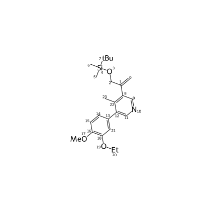 C=C(CO[Si](C)(C)C(C)(C)C)c1cncc(-c2ccc(OC)c(OCC)c2)c1C